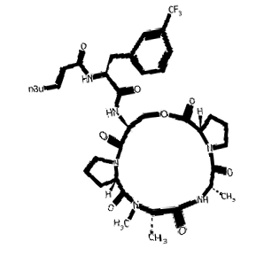 CCCC/C=C/C(=O)N[C@@H](Cc1cccc(C(F)(F)F)c1)C(=O)N[C@H]1COC(=O)[C@@H]2CCCN2C(=O)[C@H](C)NC(=O)[C@H](C)N(C)C(=O)[C@@H]2CCCN2C1=O